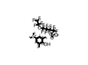 Cc1cc([S+](C)C)cc(C)c1O.O=S(=O)([O-])C(F)(F)C(F)(F)C(F)(F)C(F)(F)OC(F)(F)C(F)F